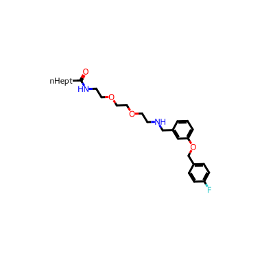 CCCCCCCC(=O)NCCOCCOCCNCc1cccc(OCc2ccc(F)cc2)c1